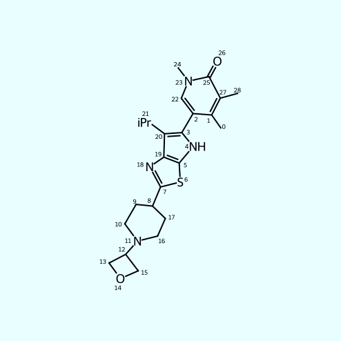 Cc1c(-c2[nH]c3sc(C4CCN(C5COC5)CC4)nc3c2C(C)C)cn(C)c(=O)c1C